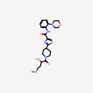 CSCCC(O)C(=O)N1CCC(c2nc(C(=O)Nc3ccccc3N3CCOCC3)cs2)CC1